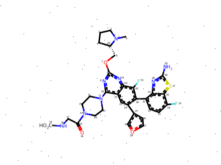 CN1CCC[C@H]1COc1nc(N2CCN(C(=O)CNC(=O)O)CC2)c2cc(-c3ccoc3)c(-c3ccc(F)c4sc(N)nc34)c(F)c2n1